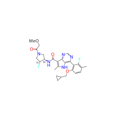 COCC(=O)N1C[C@H](F)[C@H](NC(=O)c2c(C)[nH]c3c(-c4c(OCC5CC5)ccc(C)c4F)ncnc23)C1